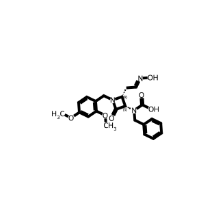 COc1ccc(CN2C(=O)[C@@H](N(Cc3ccccc3)C(=O)O)[C@H]2CC=NO)c(OC)c1